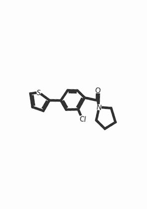 O=C(c1ccc(-c2cccs2)cc1Cl)N1CCCC1